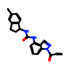 COC(=O)n1ncc2c(NC(=O)NC3CCc4cc(C)ccc43)cccc21